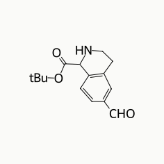 CC(C)(C)OC(=O)C1NCCc2cc(C=O)ccc21